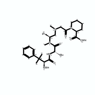 CN[C@H](C(=O)N[C@H](C(=O)N(C)[C@H](CN(C)CC(=O)N1CCCCC1C(=O)OC)C(C)C)C(C)(C)C)C(C)(C)c1ccccc1